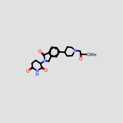 COC(=O)CN1CCC(c2ccc3c(c2)CN(C2CCC(=O)NC2=O)C3=O)CC1